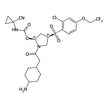 N#CC1(NC(=O)O[C@H]2C[C@@H](S(=O)(=O)c3ccc(OCC(F)(F)F)cc3Cl)CN2C(=O)CC2CCC(N)CC2)CC1